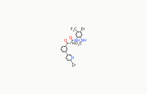 CCc1cc(NC(=O)O)c(NC(=O)CC(=O)c2cccc(-c3ccc(C4CC4)nc3)c2)cc1C(F)(F)F